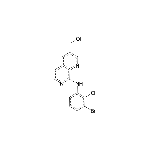 OCc1cnc2c(Nc3cccc(Br)c3Cl)nccc2c1